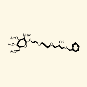 CC(=O)N[C@H]1[C@H](OCCOCCOC[C@H](O)COCc2ccccc2)O[C@H](COC(C)=O)[C@H](OC(C)=O)[C@@H]1OC(C)=O